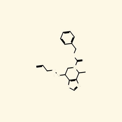 C=CCONC1CN(C(=O)OCc2ccccc2)C(C)c2ncsc21